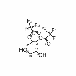 CC(COC(=O)C(F)(F)F)OC(=O)C(F)(F)F.OCCO